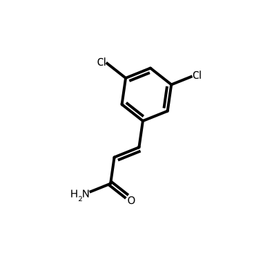 NC(=O)C=Cc1cc(Cl)cc(Cl)c1